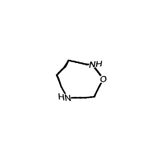 C1CNOCN1